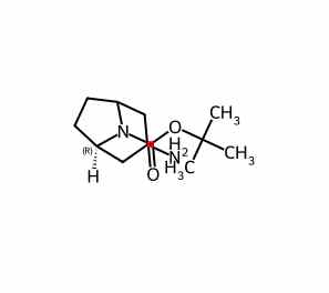 CC(C)(C)OC(=O)N1C2CC[C@@H]1CC(N)C2